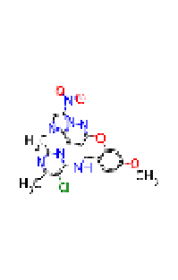 COc1ccc(CNc2nc(C)nc(C)c2Cl)c(Oc2ccc3ncc([N+](=O)[O-])n3n2)c1